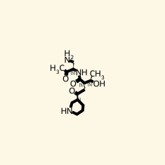 CC(=O)[C@H](CN)NC(=O)[C@@H](CC(=O)[C@H]1CCCNC1)[C@H](C)O